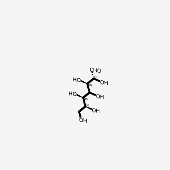 O=C[C@H](O)[C@H](O)C(O)[C@H](O)[C@@H](O)CO